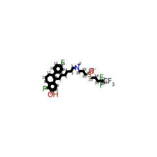 CN(CCCCCCC1=C(c2ccc(F)cc2)CCCc2c1ccc(O)c2F)CCC[S+]([O-])CCCC(F)(F)C(F)(F)F